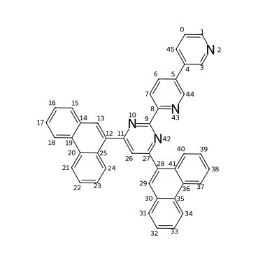 c1cncc(-c2ccc(-c3nc(-c4cc5ccccc5c5ccccc45)cc(-c4cc5ccccc5c5ccccc45)n3)nc2)c1